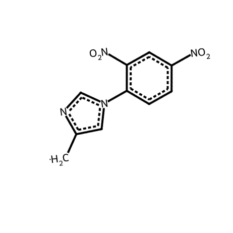 [CH2]c1cn(-c2ccc([N+](=O)[O-])cc2[N+](=O)[O-])cn1